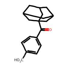 O=C(O)c1ccc(C(=O)C23CC4CC(CC(C4)C2)C3)cc1